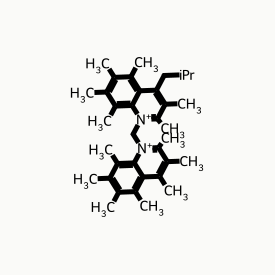 Cc1c(C)c(C)c2c(c1C)c(C)c(C)c(C)[n+]2C[n+]1c(C)c(C)c(CC(C)C)c2c(C)c(C)c(C)c(C)c21